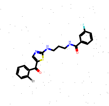 CCc1ccccc1C(=O)c1cnc(NCCCNC(=O)c2cccc(F)c2)s1